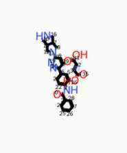 O=C(Nc1ccc(-c2ccc(N3CC4CNCC4C3)nn2)cc1)c1ccccc1.O=C(O)/C=C/C(=O)O